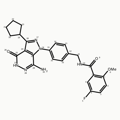 COc1ccc(F)cc1C(=O)NCc1ccc(-n2nc(C3CCCC3)c3c(=O)[nH]nc(N)c32)cc1